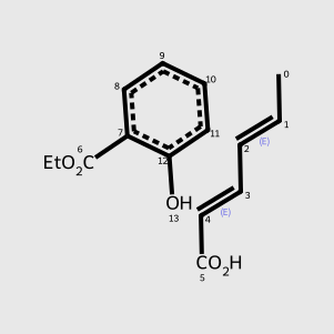 C/C=C/C=C/C(=O)O.CCOC(=O)c1ccccc1O